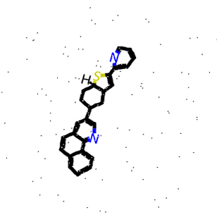 C1=C(c2ccccn2)S[C@H]2CCC(c3cnc4c(ccc5ccccc54)c3)CC12